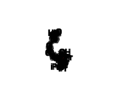 CC(C)[Si](C#Cc1c(F)ccc2cc(O[Si](C(C)C)(C(C)C)C(C)C)cc(-c3ncc4c(N5CCC[C@@](C)(O)C5)nc(OC[C@@]56CCCN5[C@H](COC(=O)N5CCC(OCCC#Cc7cccc8c7n(C)c(=O)n8C7CCC(=O)NC7=O)CC5)CC6)nc4c3F)c12)(C(C)C)C(C)C